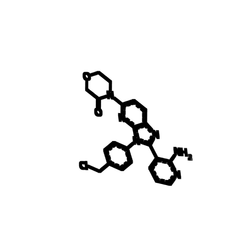 Nc1ncccc1-c1nc2ccc(N3CCOCC3=O)nc2n1-c1ccc(CCl)cc1